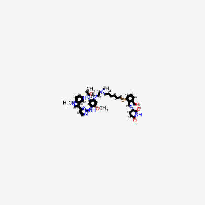 C=CC(=O)Nc1cc(Nc2nccc(-c3cn(C)c4ccccc34)n2)c(OC)cc1N(C)CCN(C)CCCCCCSc1cccc2c1CN(C1CCC(=O)NC1=O)C2=O